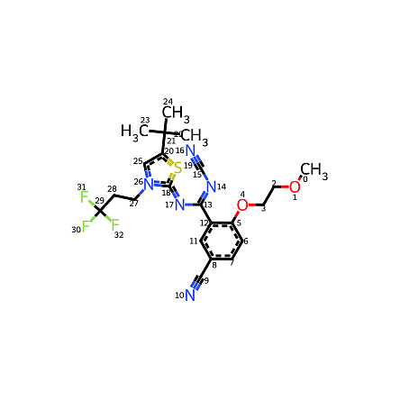 COCCOc1ccc(C#N)cc1C(=NC#N)/N=c1\sc(C(C)(C)C)cn1CCC(F)(F)F